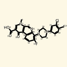 Cn1cc(C(=O)O)c(=O)c2c3ccc(F)c(N4CCN(c5ccc(F)c(Cl)c5)CC4)c3ncc21